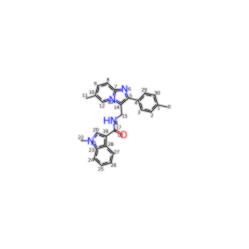 Cc1ccc(-c2nc3ccc(C)cn3c2CNC(=O)c2cn(C)c3ccccc23)cc1